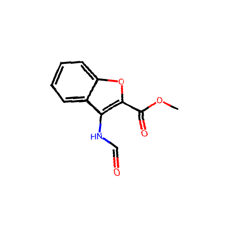 COC(=O)c1oc2ccccc2c1NC=O